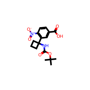 CC(C)(C)OC(=O)NC1(c2cc(C(=O)O)ccc2[N+](=O)[O-])CCC1